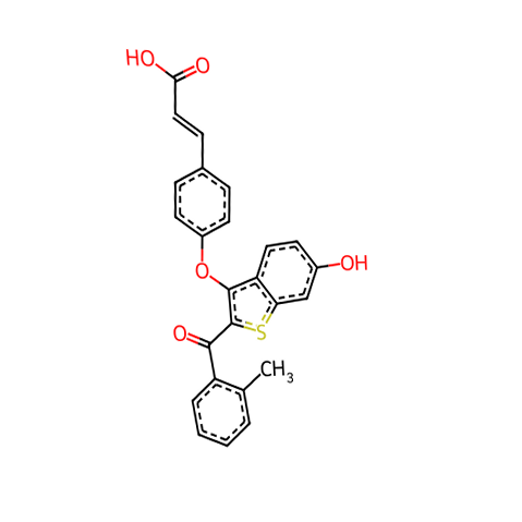 Cc1ccccc1C(=O)c1sc2cc(O)ccc2c1Oc1ccc(C=CC(=O)O)cc1